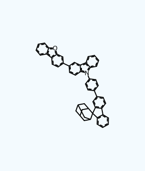 c1ccc2c(c1)-c1ccc(-c3ccc(-n4c5ccccc5c5cc(-c6ccc7c(c6)oc6ccccc67)ccc54)cc3)cc1C21C2CC3CC(C2)CC1C3